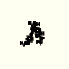 CNc1ncc(C#Cc2ccc(OC)cn2)c2cc(NC(=O)[C@@H]3C[C@@H]3C(F)F)ncc12